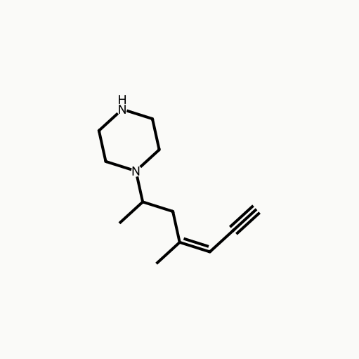 C#C/C=C(/C)CC(C)N1CCNCC1